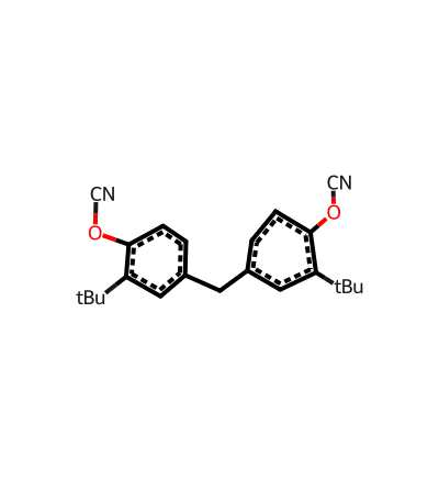 CC(C)(C)c1cc(Cc2ccc(OC#N)c(C(C)(C)C)c2)ccc1OC#N